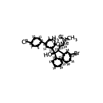 COc1ncc(-c2ccc(Cl)cc2)cc1C(O)(c1ccccc1)C(CCN(C)C)c1cccc(Br)c1